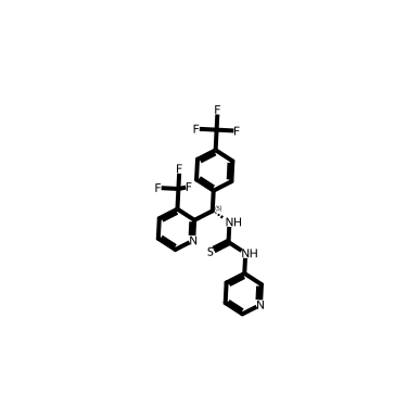 FC(F)(F)c1ccc([C@H](NC(=S)Nc2cccnc2)c2ncccc2C(F)(F)F)cc1